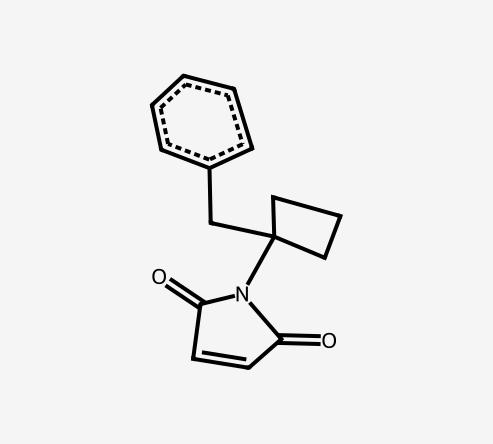 O=C1C=CC(=O)N1C1(Cc2ccccc2)CCC1